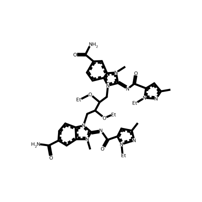 CCOC(Cn1/c(=N/C(=O)c2cc(C)nn2CC)n(C)c2cc(C(N)=O)ccc21)C(Cn1/c(=N/C(=O)c2cc(C)nn2CC)n(C)c2cc(C(N)=O)ccc21)OCC